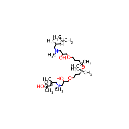 CC(CN(C)CC(O)COCCC[Si](C)(C)O[Si](C)(C)CCCOCC(O)CN(C)CC(C)C[Si](C)(C)O)C[SiH](C)C